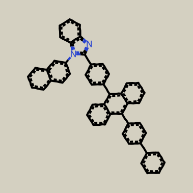 c1ccc(-c2ccc(-c3c4ccccc4c(-c4ccc(-c5nc6ccccc6n5-c5ccc6ccccc6c5)cc4)c4ccccc34)cc2)cc1